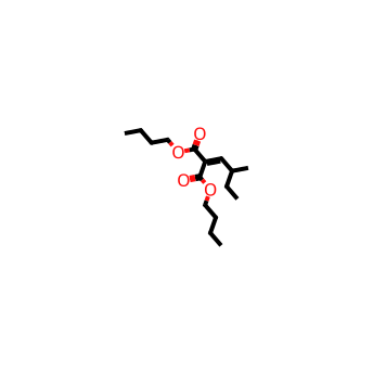 CCCCOC(=O)C(=CC(C)CC)C(=O)OCCCC